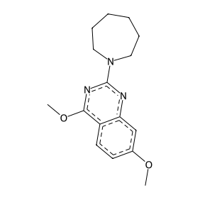 COc1ccc2c(OC)nc(N3CCCCCC3)nc2c1